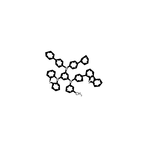 Cc1cccc(N(c2ccc(-c3cccc4c3sc3ccccc34)cc2)c2cc(N(c3ccc(-c4ccccc4)cc3)c3ccc(-c4ccccc4)cc3)cc(N3c4ccccc4Sc4ccccc43)c2)c1